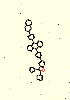 c1ccc(-c2oc3ccc(-c4ccc(-c5c6ccccc6c(-c6ccc(-c7ccc8ccccc8c7)cc6)c6ccccc56)cc4)cc3c2-c2ccccc2)cc1